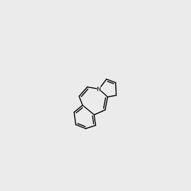 C1=CN2C=Cc3ccccc3C=C2C1